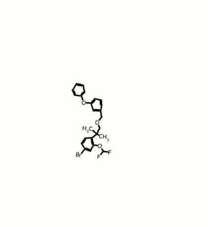 CC(C)(COCc1cccc(Oc2ccccc2)c1)c1ccc(Br)cc1OC(F)F